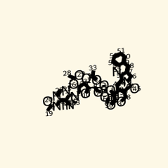 CC[C@@]1(OP(=O)(O)OC[C@H]2O[C@@H](n3cnc4c(NC(C)=O)ncnc43)[C@H](OC(C)=O)[C@@H]2OC(C)=O)C(=O)OCc2c1cc1n(c2=O)Cc2cc3ccccc3nc2-1